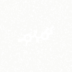 Cc1nc2cc(NC(=O)c3ccc(Br)c(C)c3)ccc2s1